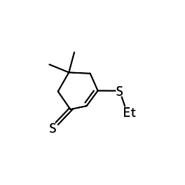 CCSC1=CC(=S)CC(C)(C)C1